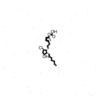 CCCCCCC[C@@H]1[C@@H](CCCc2ccc(OC(=O)O)s2)[C@H](Cl)C[C@H]1O